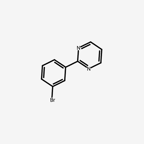 Brc1cccc(-c2ncccn2)c1